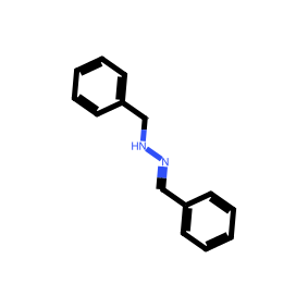 [CH](NN=Cc1ccccc1)c1ccccc1